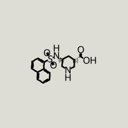 O=C(O)[C@@H]1CNC[C@H](NS(=O)(=O)c2cccc3ccccc23)C1